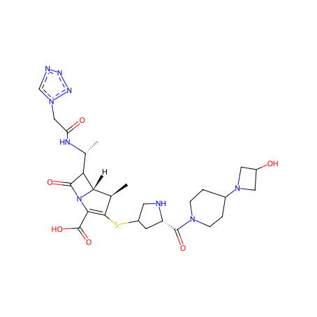 C[C@@H](NC(=O)Cn1cnnn1)C1C(=O)N2C(C(=O)O)=C(SC3CN[C@H](C(=O)N4CCC(N5CC(O)C5)CC4)C3)[C@H](C)[C@@H]12